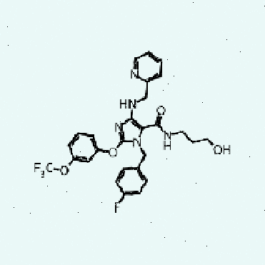 O=C(NCCCO)c1c(NCc2ccccn2)nc(Oc2cccc(OC(F)(F)F)c2)n1Cc1ccc(F)cc1